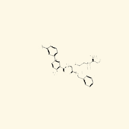 COc1ccc(-c2cccc(Cl)c2)cc1C(=O)N[C@@H](CCCNC(=N)CF)C(=O)NCc1ccccc1